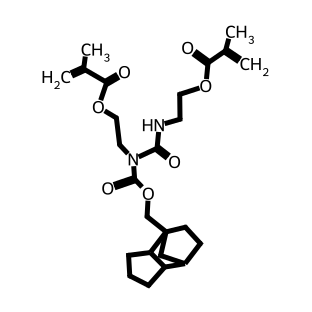 C=C(C)C(=O)OCCNC(=O)N(CCOC(=O)C(=C)C)C(=O)OCC12CCC(C1)C1CCCC12